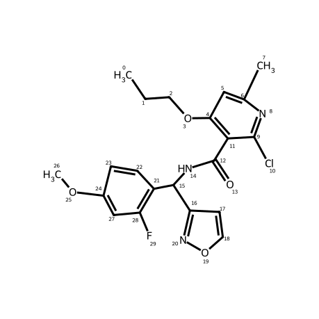 CCCOc1cc(C)nc(Cl)c1C(=O)NC(c1ccon1)c1ccc(OC)cc1F